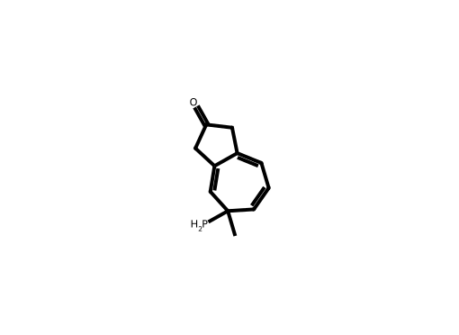 CC1(P)C=CC=C2CC(=O)CC2=C1